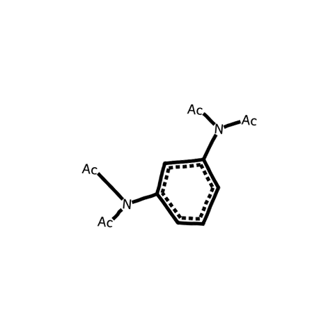 CC(=O)N(C(C)=O)c1cccc(N(C(C)=O)C(C)=O)c1